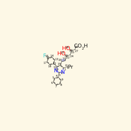 CC(C)c1nc(-c2ccccc2)nc(-c2ccc(F)cc2)c1/C=C/[C@@H](O)C[C@@H](O)CC(=O)O